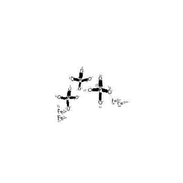 O=P([O-])([O-])[O-].O=P([O-])([O-])[O-].O=P([O-])([O-])[O-].[Fe+2].[Fe+2].[Fe+2].[Fe+3]